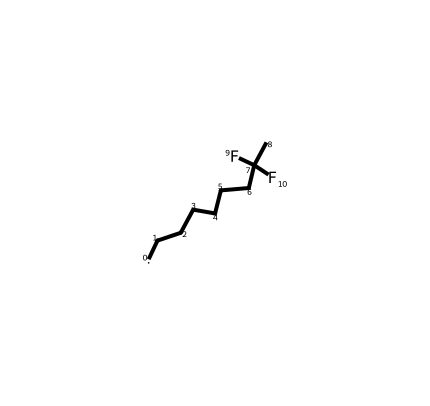 [CH2]CCCCCCC(C)(F)F